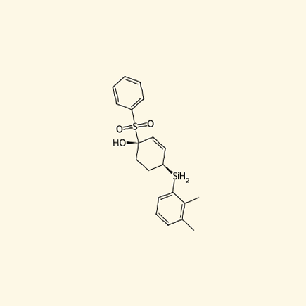 Cc1cccc([SiH2][C@@H]2C=C[C@@](O)(S(=O)(=O)c3ccccc3)CC2)c1C